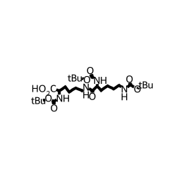 CC(C)(C)OC(=O)NCCCCC(NC(=O)OC(C)(C)C)C(=O)NCCCCC(NC(=O)OC(C)(C)C)C(=O)O